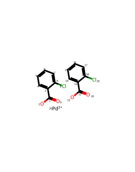 O=C([O-])c1ccccc1Cl.O=C([O-])c1ccccc1Cl.[Pd+2]